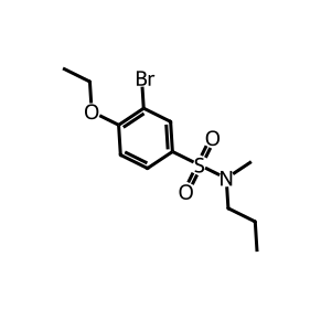 CCCN(C)S(=O)(=O)c1ccc(OCC)c(Br)c1